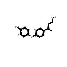 CC(CCO)c1ccc(Oc2ccc(Cl)cc2)cc1